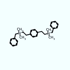 C[N+](C)(CCc1ccc(CC[N+](C)(C)Cc2ccccc2)cc1)Cc1ccccc1